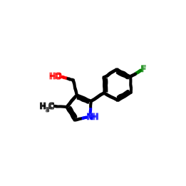 Cc1c[nH]c(-c2ccc(F)cc2)c1CO